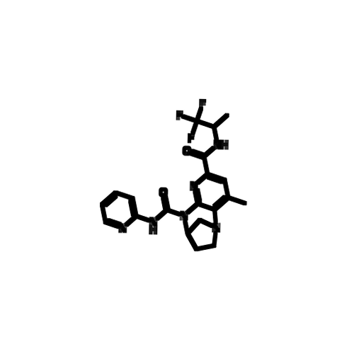 Cc1cc(C(=O)NC(C)C(F)(F)F)nc2c1N1CCC(C1)N2C(=O)Nc1ccccn1